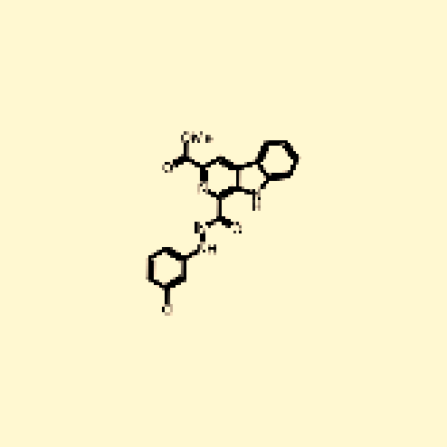 COC(=O)c1cc2c([nH]c3ccccc32)c(C(=O)NNc2cccc(Cl)c2)n1